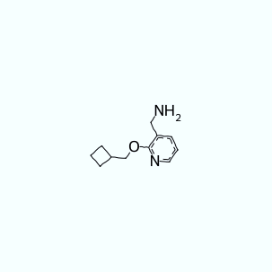 NCc1cccnc1OCC1CCC1